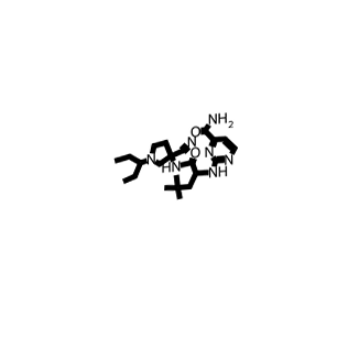 CCC(CC)N1CCC(C#N)(NC(=O)C(CC(C)(C)C)Nc2nccc(C(N)=O)n2)C1